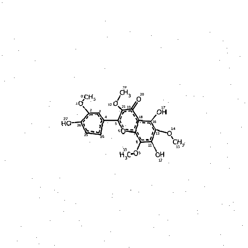 COc1cc(-c2oc3c(OC)c(O)c(OC)c(O)c3c(=O)c2OC)ccc1O